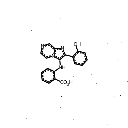 O=C(O)c1ccccc1Nc1c(-c2ccccc2O)nc2cnccn12